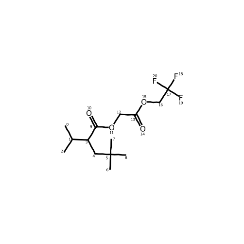 CC(C)C(CC(C)(C)C)C(=O)OCC(=O)OCC(F)(F)F